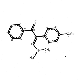 COc1ccc(/C(=C\N(C)C)C(=O)c2ccccc2)cc1